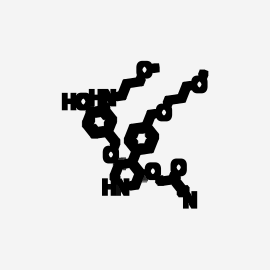 COCCCNc1cc(CO[C@H]2CNC[C@@H](OCC(=O)C#N)C2c2ccc(COCCCOC)cc2)ccc1O